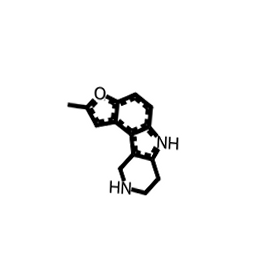 Cc1cc2c(ccc3[nH]c4c(c32)CNCC4)o1